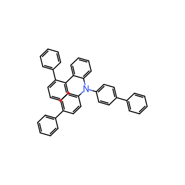 c1ccc(-c2ccc(N(c3ccc(-c4ccccc4)cc3)c3ccccc3-c3ccccc3-c3ccccc3)cc2)cc1